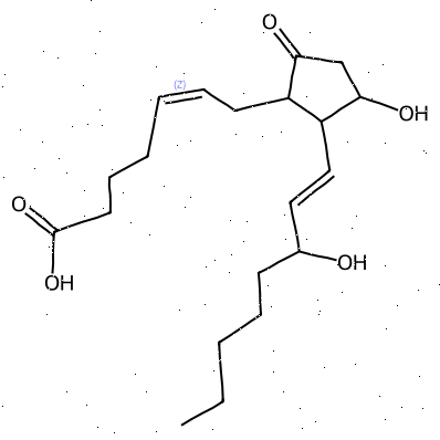 CCCCCC(O)C=CC1C(O)CC(=O)C1C/C=C\CCCC(=O)O